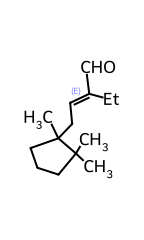 CC/C(C=O)=C\CC1(C)CCCC1(C)C